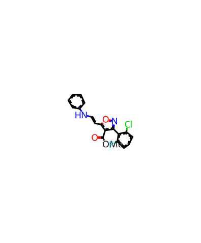 COC(=O)c1c(-c2c(F)cccc2Cl)noc1C=CNc1ccccc1